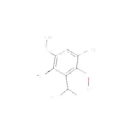 COc1cc(C)c(OC)c(C(C)C)c1C